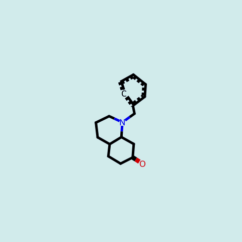 O=C1CCC2CCCN(Cc3ccccc3)C2C1